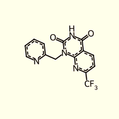 O=c1[nH]c(=O)n(Cc2ccccn2)c2nc(C(F)(F)F)ccc12